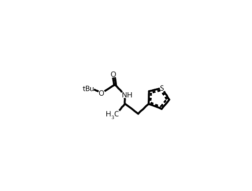 CC(Cc1ccsc1)NC(=O)OC(C)(C)C